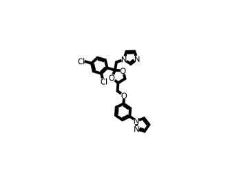 Clc1ccc(C2(Cn3ccnc3)OCC(COc3cccc(-n4cccn4)c3)O2)c(Cl)c1